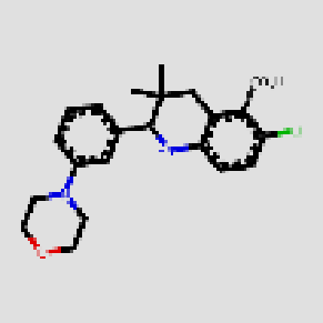 CC1(C)Cc2c(ccc(Cl)c2C(=O)O)NC1c1cccc(N2CCOCC2)c1